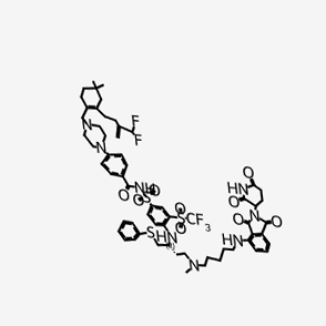 C=C(CCC1=C(CN2CCN(c3ccc(C(=O)NS(=O)(=O)c4ccc(N[C@H](CCN(C)CCCCCNc5cccc6c5C(=O)N(C5CCC(=O)NC5=O)C6=O)CSc5ccccc5)c(S(=O)(=O)C(F)(F)F)c4)cc3)CC2)CCC(C)(C)C1)C(F)F